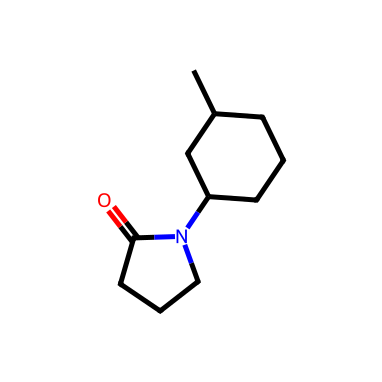 CC1CCCC(N2CCCC2=O)C1